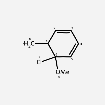 [CH2]C1C=CC=CC1(Cl)OC